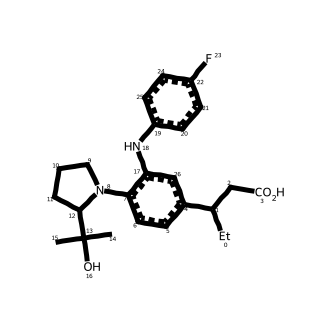 CCC(CC(=O)O)c1ccc(N2CCCC2C(C)(C)O)c(Nc2ccc(F)cc2)c1